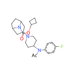 CC(=O)N(c1ccc(F)cc1)C1CCN(C2CC3CCC(C2)N3C(=O)OC2CCC2)CC1